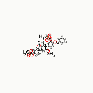 COc1cc(-c2ccc(OCc3ccccc3)c(OS(C)(=O)=O)c2)c(OC)cc1-c1ccc(OS(C)(=O)=O)cc1